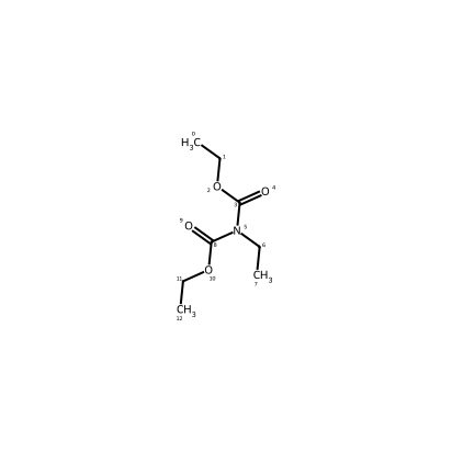 CCOC(=O)N(CC)C(=O)OCC